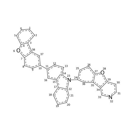 c1ccc2c(c1)oc1ccc(-c3ccc4c(c3)c3ccccc3n4-c3ccc4oc5ccncc5c4c3)cc12